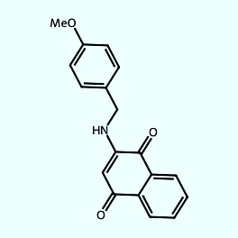 COc1ccc(CNC2=CC(=O)c3ccccc3C2=O)cc1